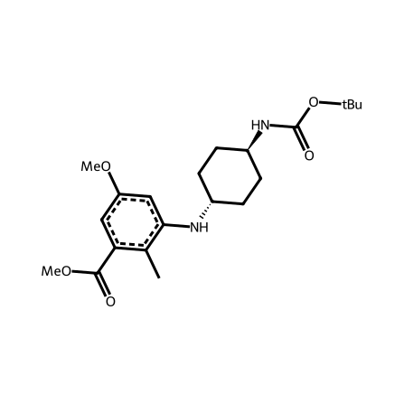 COC(=O)c1cc(OC)cc(N[C@H]2CC[C@H](NC(=O)OC(C)(C)C)CC2)c1C